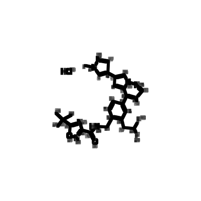 Cl.Cn1cc(-c2cc3c(-c4ccc(CNC(=O)c5noc(C(C)(C)C)n5)c(CC(F)F)c4)ncnn3c2)cn1